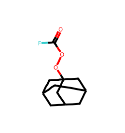 O=C(F)OOC12CC3CC(CC(C3)C1)C2